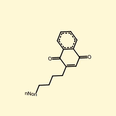 CCCCCCCCCCCCCC1=CC(=O)c2ccccc2C1=O